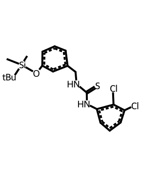 CC(C)(C)[Si](C)(C)Oc1cccc(CNC(=S)Nc2cccc(Cl)c2Cl)c1